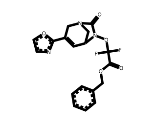 O=C1N2CC(c3ncco3)=CC(C2)N1OC(F)(F)C(=O)OCc1ccccc1